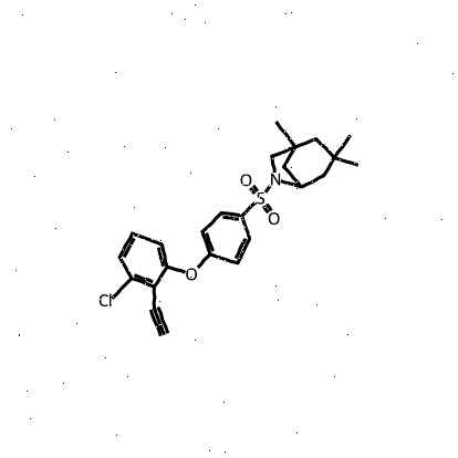 C#Cc1c(Cl)cccc1Oc1ccc(S(=O)(=O)N2CC3(C)CC2CC(C)(C)C3)cc1